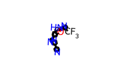 O=C(Cc1ccc(-c2cnc3cc(-c4ccncc4)ccn23)cc1)Nc1cc(C(F)(F)F)ccn1